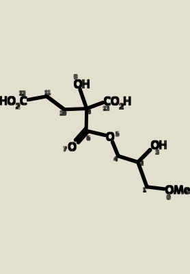 COCC(O)COC(=O)C(O)(CCC(=O)O)C(=O)O